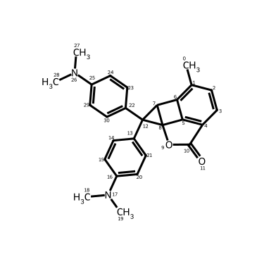 Cc1ccc2c3c1C1C3(OC2=O)C1(c1ccc(N(C)C)cc1)c1ccc(N(C)C)cc1